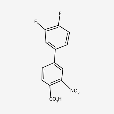 O=C(O)c1ccc(-c2ccc(F)c(F)c2)cc1[N+](=O)[O-]